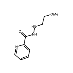 COCCNNC(=O)c1ccccn1